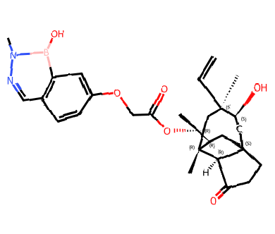 C=C[C@]1(C)C[C@@H](OC(=O)COc2ccc3c(c2)B(O)N(C)N=C3)[C@]2(C)[C@H](C)CC[C@]3(CCC(=O)[C@H]32)C[C@@H]1O